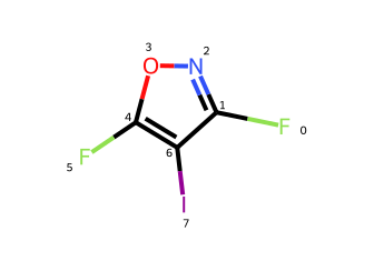 Fc1noc(F)c1I